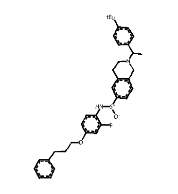 CC(c1ccc(C(C)(C)C)cc1)N1CCc2cc([S+]([O-])Nc3ccc(OCCCc4ccccc4)cc3F)ccc2C1